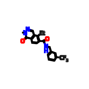 CCc1c(C(=O)NCc2cccc(C(F)(F)F)c2)ccc2c1C=N[N]C2=O